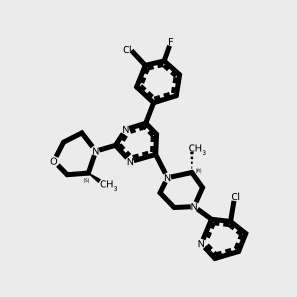 C[C@@H]1CN(c2ncccc2Cl)CCN1c1cc(-c2ccc(F)c(Cl)c2)nc(N2CCOC[C@@H]2C)n1